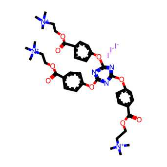 C[N+](C)(C)CCOC(=O)c1ccc(Oc2nc(Oc3ccc(C(=O)OCC[N+](C)(C)C)cc3)nc(Oc3ccc(C(=O)OCC[N+](C)(C)C)cc3)n2)cc1.[I-].[I-].[I-]